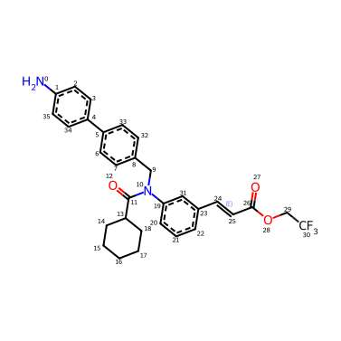 Nc1ccc(-c2ccc(CN(C(=O)C3CCCCC3)c3cccc(/C=C/C(=O)OCC(F)(F)F)c3)cc2)cc1